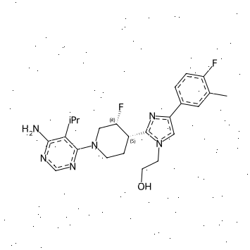 Cc1cc(-c2cn(CCO)c([C@@H]3CCN(c4ncnc(N)c4C(C)C)C[C@@H]3F)n2)ccc1F